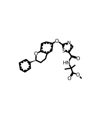 COC(=O)C(C)(C)NC(=O)c1cnc(Oc2ccc3c(c2)CC[C@@H](c2ccccc2)O3)s1